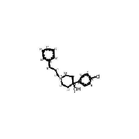 OC1(c2ccc(Cl)cc2)CCN(CCCc2ccccc2)CC1